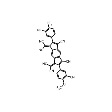 N#CC(C#N)=C1C(c2ccc(OC(F)(F)F)c(C#N)c2)=C(C#N)c2cc3c(cc21)C(=C(C#N)C#N)C(c1ccc(C(F)(F)F)c(C#N)c1)=C3C#N